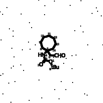 CC(C)(C)OC(=O)NC1(CC=O)CCCCCCC1